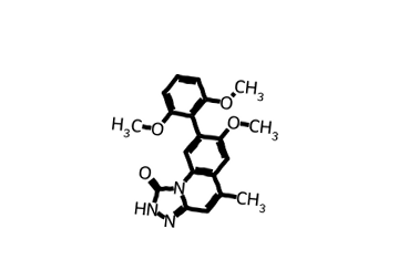 COc1cc2c(C)cc3n[nH]c(=O)n3c2cc1-c1c(OC)cccc1OC